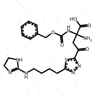 NC(CC(=O)c1nnc(CCCCNC2=NCCN2)s1)(NC(=O)OCc1ccccc1)C(=O)O